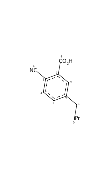 CC(C)Cc1ccc(C#N)c(C(=O)O)c1